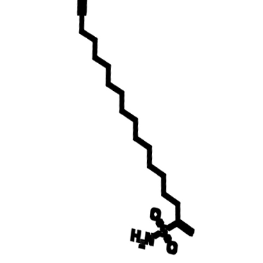 C#CCCCCCCCCCCCCCCC(=C)S(N)(=O)=O